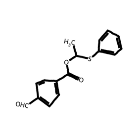 CC(OC(=O)c1ccc(C=O)cc1)Sc1ccccc1